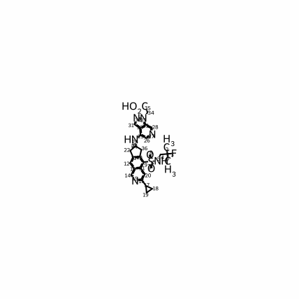 CC(C)(F)CNS(=O)(=O)c1c2c(cc3cnc(C4CC4)cc13)C[C@@H](Nc1cncc3c1cnn3CC(=O)O)C2